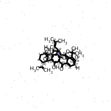 C=C(C)[C@@H]1CC[C@@]2(C)CC1c1c(O)c3c(c(CC=C(C)C)c1O2)O[C@]12C(=C[C@@H]4CC1C(C)(C)OC2(/C=C/C(C)OC=O)C4=O)C3=O